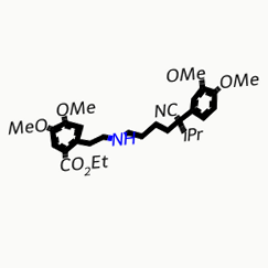 CCOC(=O)c1cc(OC)c(OC)cc1CCNCCCCC(C#N)(c1ccc(OC)c(OC)c1)C(C)C